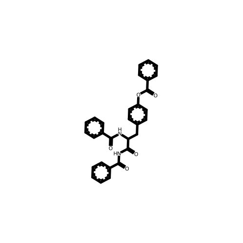 O=C(NC(=O)C(Cc1ccc(OC(=O)c2ccccc2)cc1)NC(=O)c1ccccc1)c1ccccc1